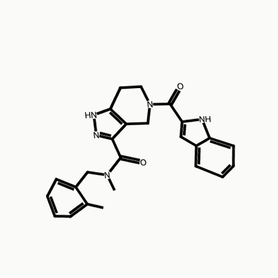 Cc1ccccc1CN(C)C(=O)c1n[nH]c2c1CN(C(=O)c1cc3ccccc3[nH]1)CC2